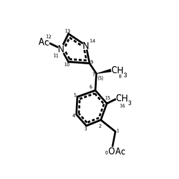 CC(=O)OCc1cccc([C@H](C)c2cn(C(C)=O)cn2)c1C